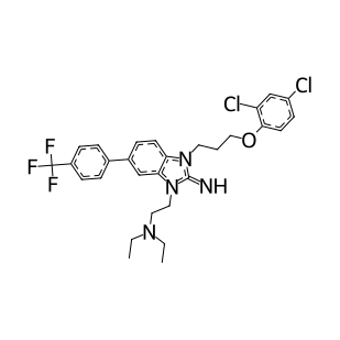 CCN(CC)CCn1c(=N)n(CCCOc2ccc(Cl)cc2Cl)c2ccc(-c3ccc(C(F)(F)F)cc3)cc21